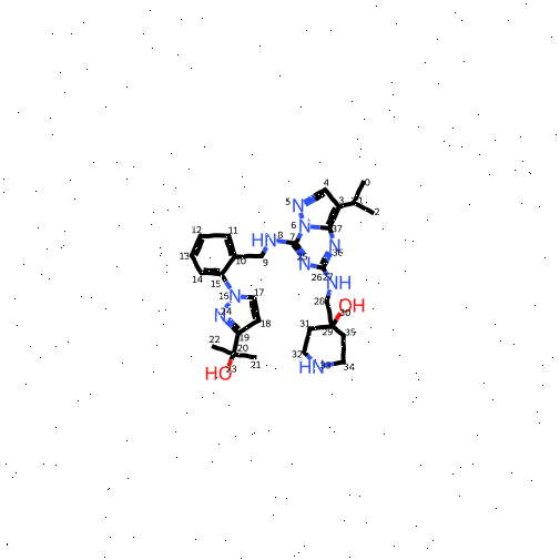 CC(C)c1cnn2c(NCc3ccccc3-n3ccc(C(C)(C)O)n3)nc(NCC3(O)CCNCC3)nc12